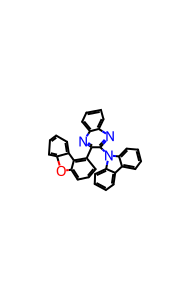 c1ccc2nc(-n3c4ccccc4c4ccccc43)c(-c3cccc4oc5ccccc5c34)nc2c1